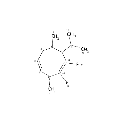 CC1/C=C\CC(C)C(C(C)C)/C(F)=C\1F